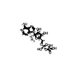 C[C@@]1(n2cnc3c(S)ncnc32)O[C@H](COP(=O)(O)OP(=O)(O)O)[C@@H](O)[C@H]1O